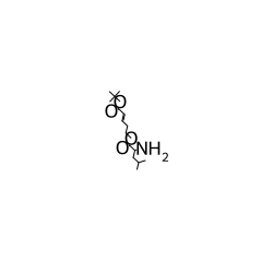 CC(C)C[C@H](N)C(=O)OCC/C=C/C(=O)OC(C)(C)C